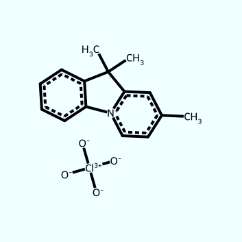 Cc1cc[n+]2c(c1)C(C)(C)c1ccccc1-2.[O-][Cl+3]([O-])([O-])[O-]